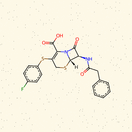 O=C(Cc1ccccc1)N[C@@H]1C(=O)N2C(C(=O)O)=C(Sc3ccc(F)cc3)CS[C@@H]12